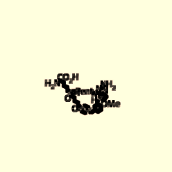 CCCCCNc1nc(N)nc2ccn(Cc3cc(CN4CCN(C(=O)CCCC(=O)NCCCC[C@H](N)C(=O)O)CC4)ccc3OC)c12